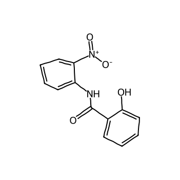 O=C(Nc1ccccc1[N+](=O)[O-])c1ccccc1O